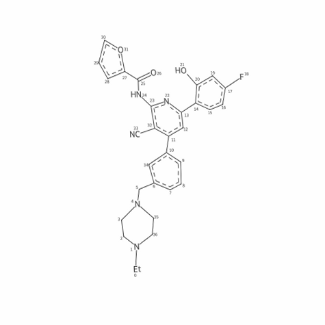 CCN1CCN(Cc2cccc(-c3cc(-c4ccc(F)cc4O)nc(NC(=O)c4ccco4)c3C#N)c2)CC1